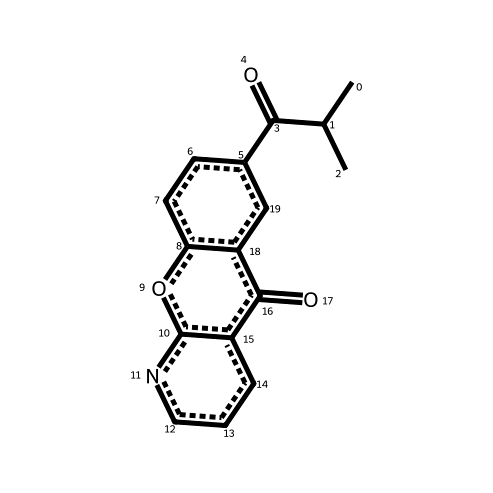 CC(C)C(=O)c1ccc2oc3ncccc3c(=O)c2c1